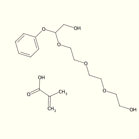 C=C(C)C(=O)O.OCCOCCOCCOC(CO)Oc1ccccc1